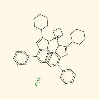 C1=C(C2CCCCC2)[CH]([Hf+2]2([CH]3C(C4CCCCC4)=Cc4c(-c5ccccc5)cccc43)[CH2]C[CH2]2)c2cccc(-c3ccccc3)c21.[Cl-].[Cl-]